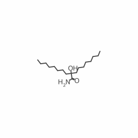 CCCCCCCCC(O)(CCCCCCCC)C(N)=O